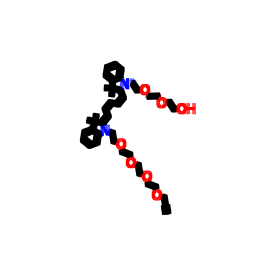 C#CCOCCOCCOCCOCCN1/C(=C/C=C\C=C/C2=[N+](CCOCCOCCO)c3ccccc3C2(C)C)C(C)(C)c2ccccc21